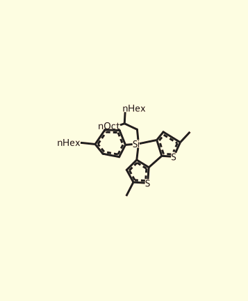 CCCCCCCCC(CCCCCC)C[Si]1(c2ccc(CCCCCC)cc2)c2cc(C)sc2-c2sc(C)cc21